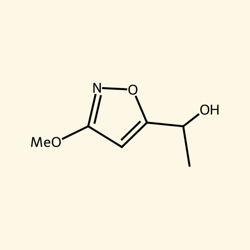 COc1cc(C(C)O)on1